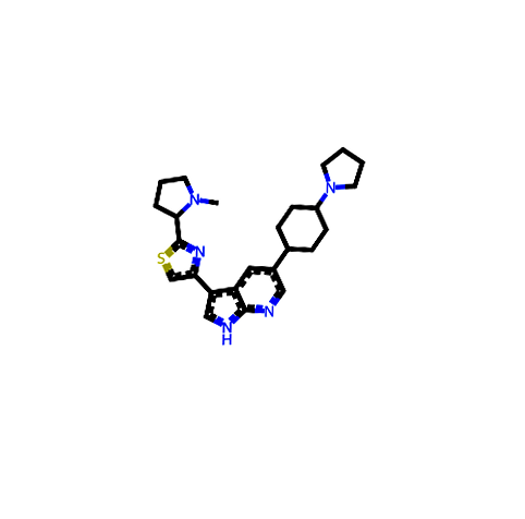 CN1CCCC1c1nc(-c2c[nH]c3ncc(C4CCC(N5CCCC5)CC4)cc23)cs1